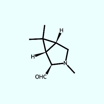 CN1C[C@@H]2[C@H]([C@@H]1C=O)C2(C)C